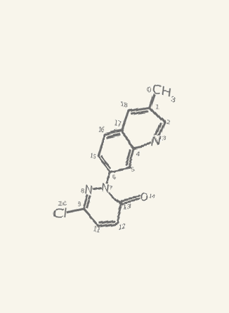 Cc1cnc2cc(-n3nc(Cl)ccc3=O)ccc2c1